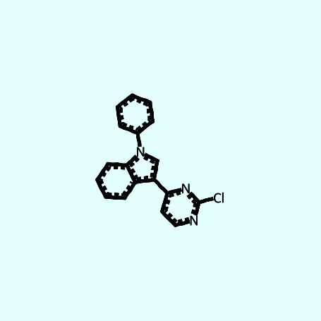 Clc1nccc(-c2cn(-c3ccccc3)c3ccccc23)n1